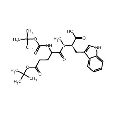 CN(C(=O)C(CCC(=O)OC(C)(C)C)NC(=O)OC(C)(C)C)[C@H](Cc1c[nH]c2ccccc12)C(=O)O